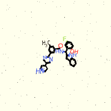 Cc1cc(C(=O)NC(c2cc3ccccc3[nH]2)c2cc(F)ccc2O)cc(-c2ncc(C3=CCNCC3)cn2)c1